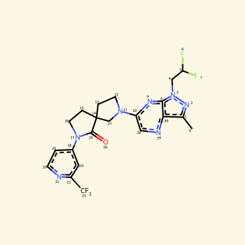 Cc1nn(CC(F)F)c2nc(N3CCC4(CCN(c5ccnc(C(F)(F)F)c5)C4=O)C3)cnc12